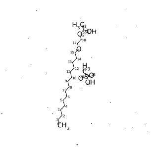 CCCCCCCCCCCCCCCCOCCOC(C)O.CS(=O)(=O)O